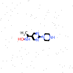 C=C(NO)c1cnc(N2CCNCC2)nc1